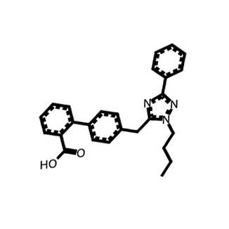 CCCCn1nc(-c2ccccc2)nc1Cc1ccc(-c2ccccc2C(=O)O)cc1